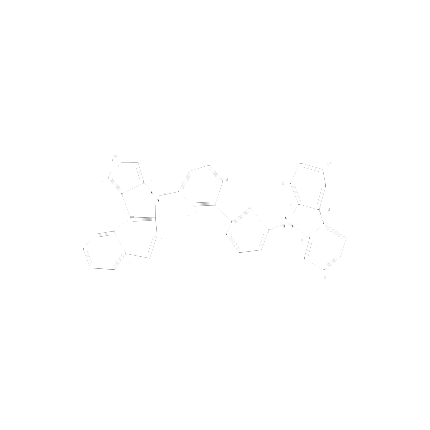 c1cc(-c2cccc(-n3c4cscc4c4c5ccccc5ccc43)c2)cc(-n2c3ccccc3c3ccccc32)c1